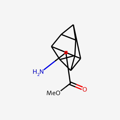 COC(=O)C1C(N)C2C3C4C1C1C2C1C34